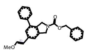 CO/C=C/c1cc2c(c(-c3ccccc3)c1)CN(C(=O)OCc1ccccc1)C2